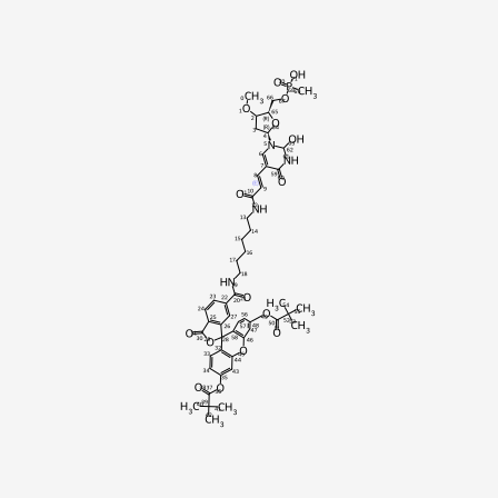 COC1C[C@H](N2C=C(/C=C/C(=O)NCCCCCCNC(=O)c3ccc4c(c3)C3(OC4=O)c4ccc(OC(=O)C(C)(C)C)cc4Oc4cc(OC(=O)C(C)(C)C)ccc43)C(=O)NC2O)O[C@@H]1COP(C)(=O)O